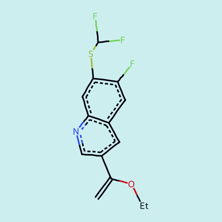 C=C(OCC)c1cnc2cc(SC(F)F)c(F)cc2c1